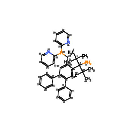 CC(C)(C)C(P)(c1cc(-c2ccccc2)c(-c2ccccc2)cc1CP(c1ccccn1)c1ccccn1)C(C)(C)C